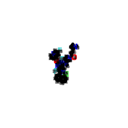 CN1CC[C@@H]1/C=C/C(=O)N1C[C@@H](F)[C@H](N(C)c2nc(OC[C@@]34CCCN3C[C@H](F)C4)nc3c(F)c(-c4cccc5cccc(Cl)c45)ncc23)C1